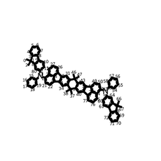 CC1(C)c2ccccc2-c2ccc(N(c3ccccc3)c3ccc4c5c(cccc35)-c3cc5c(cc3-4)C(C)(C)c3cc4c(cc3C5(C)C)-c3ccc(N(c5ccccc5)c5ccc6c(c5)C(C)(C)c5ccccc5-6)c5cccc-4c35)cc21